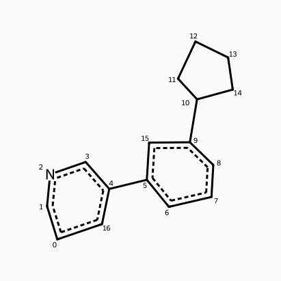 c1cncc(-c2cccc(C3CCCC3)c2)c1